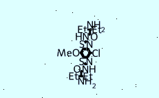 CCC(N)(CC)C(=O)Nc1nc2c(Cl)c3nc(NC(=O)C(N)(CC)CC)sc3c(OC)c2s1